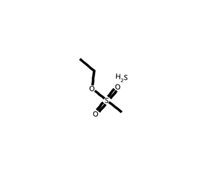 CCOS(C)(=O)=O.S